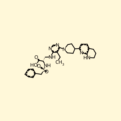 CCc1c(NC[C@H](NS(=O)(=O)Cc2ccccc2)C(=O)O)ncnc1N1CCC(c2ccc3c(n2)NCCC3)CC1